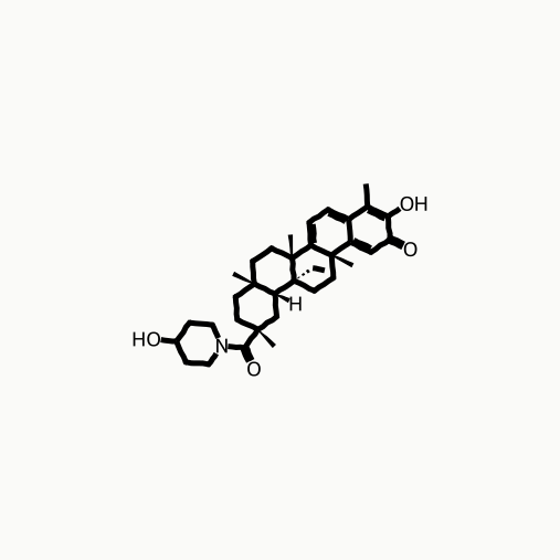 CC[C@@]12CC[C@@]3(C)C4=CC(=O)C(O)=C(C)C4=CC=C3[C@@]1(C)CC[C@@]1(C)CC[C@@](C)(C(=O)N3CCC(O)CC3)C[C@H]12